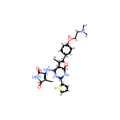 CC1=C(Nc2nc(-c3cccs3)nc3oc(-c4ccc(OCCN(C)C)cc4)c(C)c23)C(=O)NC1=O